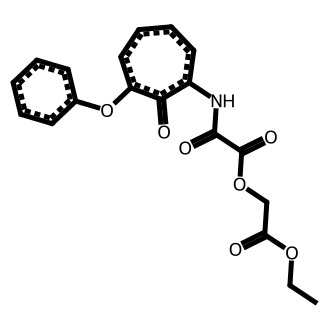 CCOC(=O)COC(=O)C(=O)Nc1ccccc(Oc2ccccc2)c1=O